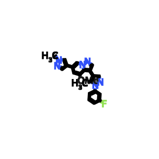 COc1cc(-c2cnn(C)c2)cn2ncc(-c3cnn(-c4cccc(F)c4)c3C)c12